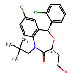 CC(C)(C)CN1C(=O)[C@@H](CCO)O[C@H](c2ccccc2Cl)c2cc(Cl)ccc21